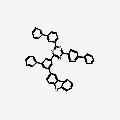 c1ccc(-c2ccc(-c3nc(-c4cccc(-c5ccccc5)c4)nc(-c4cc(-c5ccccc5)cc(-c5ccc6oc7ccccc7c6c5)c4)n3)cc2)cc1